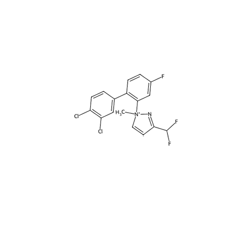 C[N+]1(c2cc(F)ccc2-c2ccc(Cl)c(Cl)c2)C=[C]C(C(F)F)=N1